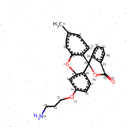 Cc1ccc2c(c1)Oc1cc(OCCCN)ccc1C21OC(=O)c2ccccc21